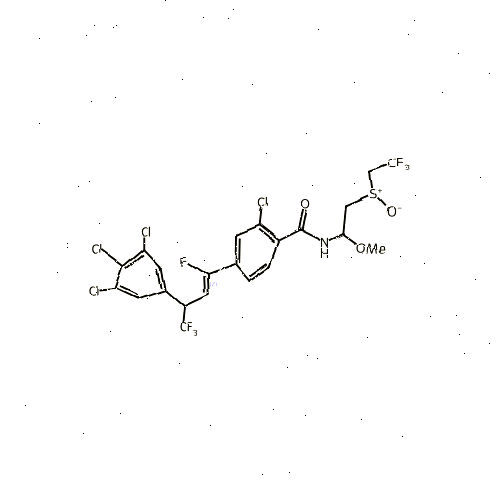 COC(C[S+]([O-])CC(F)(F)F)NC(=O)c1ccc(/C(F)=C/C(c2cc(Cl)c(Cl)c(Cl)c2)C(F)(F)F)cc1Cl